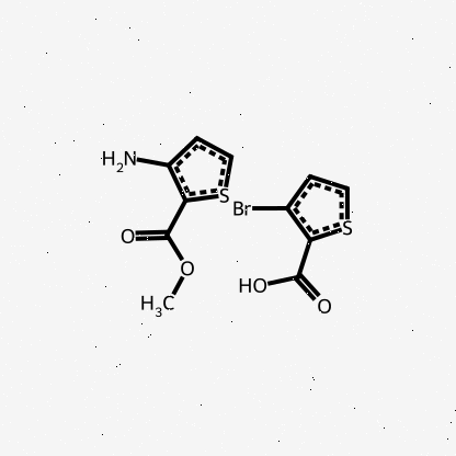 COC(=O)c1sccc1N.O=C(O)c1sccc1Br